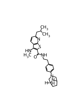 CNc1c(C(=O)NCCc2ccc(N3CC4CC[C@H](C3)N4)cc2)sc2nc(CC(C)C)ccc12